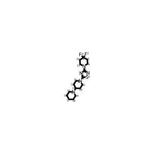 FC1(F)CCN(c2nsc(N3CCC(N4CCCCC4)CC3)n2)CC1